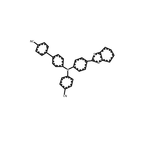 N#Cc1ccc(-c2ccc(N(c3ccc(C#N)cc3)c3ccc(-c4nc5ccccc5s4)cc3)cc2)cc1